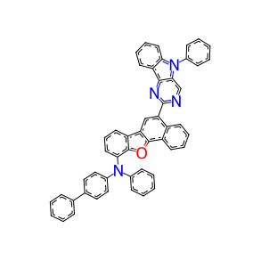 c1ccc(-c2ccc(N(c3ccccc3)c3cccc4c3oc3c5ccccc5c(-c5ncc6c(n5)c5ccccc5n6-c5ccccc5)cc43)cc2)cc1